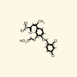 CCN(CC)C(=O)/C=C(/C)c1ccc(OCc2ccc(Cl)cc2Cl)c(OCC(=O)O)c1